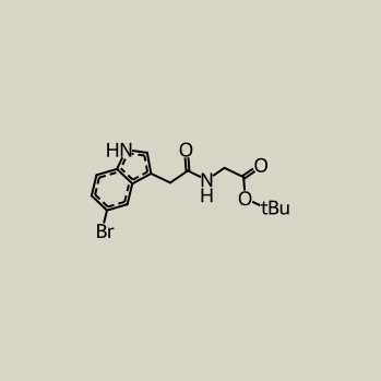 CC(C)(C)OC(=O)CNC(=O)Cc1c[nH]c2ccc(Br)cc12